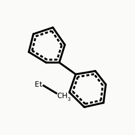 CCC.c1ccc(-c2ccccc2)cc1